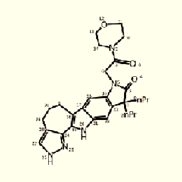 CCCC1(CCC)C(=O)N(CC(=O)N2CCOCC2)c2cc3c4c([nH]c3cc21)-c1n[nH]cc1CCC4